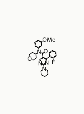 COc1cccc(N(C(=O)c2cnc(N3CCCCC3)nc2-c2ccccc2F)C2CCOCC2)c1